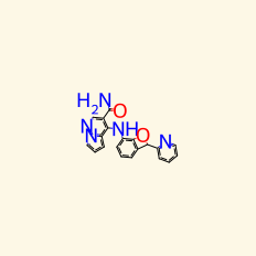 NC(=O)c1cnn2cccc2c1Nc1cccc2c1OC2c1ccccn1